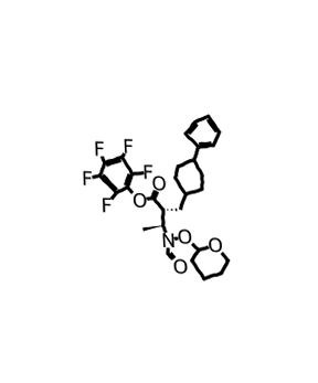 C[C@@H]([C@@H](CC1CCC(c2ccccc2)CC1)C(=O)Oc1c(F)c(F)c(F)c(F)c1F)N(C=O)OC1CCCCO1